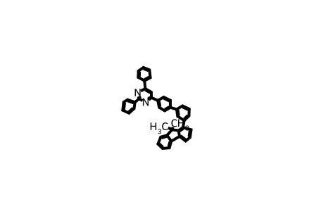 CC1(C)c2ccccc2-c2cccc(-c3cccc(-c4ccc(-c5cc(-c6ccccc6)nc(-c6ccccc6)n5)cc4)c3)c21